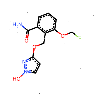 NC(=O)c1cccc(OCF)c1COc1ccn(O)n1